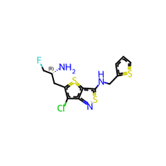 N[C@@H](CF)Cc1sc2c(NCc3cccs3)snc2c1Cl